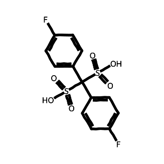 O=S(=O)(O)C(c1ccc(F)cc1)(c1ccc(F)cc1)S(=O)(=O)O